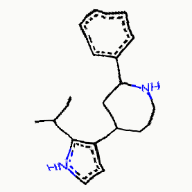 CC(C)c1[nH]ccc1C1CCNC(c2ccccc2)C1